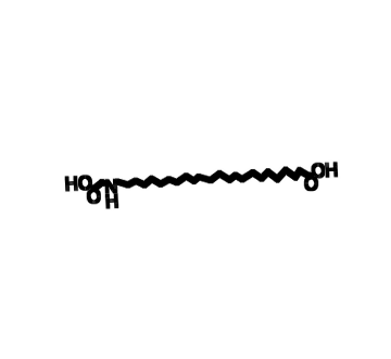 O=C(O)CCCCCCCCCCCCCCCCCCCCCCCNCC(=O)O